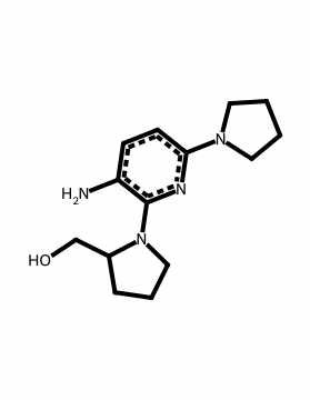 Nc1ccc(N2CCCC2)nc1N1CCCC1CO